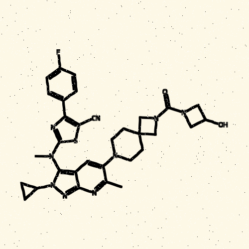 Cc1nc2nn(C3CC3)c(N(C)c3nc(-c4ccc(F)cc4)c(C#N)s3)c2cc1N1CCC2(CC1)CN(C(=O)N1CC(O)C1)C2